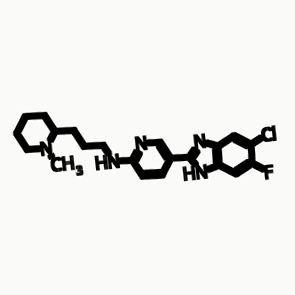 CN1CCCCC1CCCNc1ccc(-c2nc3cc(Cl)c(F)cc3[nH]2)cn1